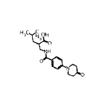 CC(C)CC(CNC(=O)c1ccc(N2CCC(=O)CC2)cc1)C(=O)O